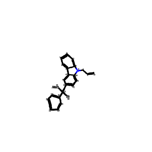 C=CCn1c2ccccc2c2cc(C(CC)(OC)c3ccccc3)ccc21